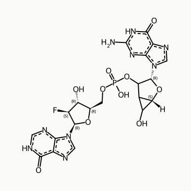 Nc1nc2c(ncn2[C@@H]2O[C@@H]3C(O)C3C2OP(=O)(O)OC[C@H]2O[C@@H](n3cnc4c(=O)[nH]cnc43)[C@@H](F)[C@@H]2O)c(=O)[nH]1